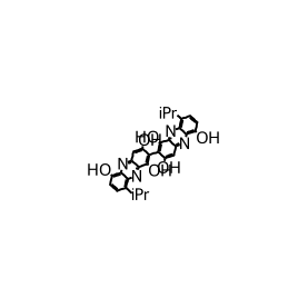 CC(C)c1ccc(O)c2nc3cc(O)c(-c4c(O)cc5nc6c(O)ccc(C(C)C)c6nc5c4O)c(O)c3nc12